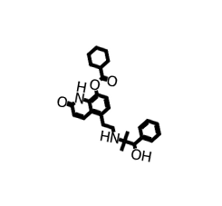 CC(C)(NCCc1ccc(OC(=O)C2CCCCC2)c2[nH]c(=O)ccc12)C(O)c1ccccc1